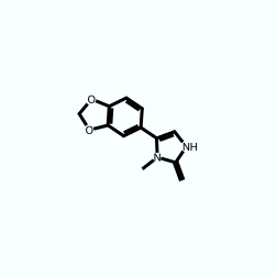 C=C1NC=C(c2ccc3c(c2)OCO3)N1C